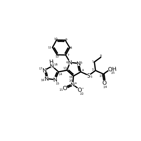 CCC(Sc1nn(-c2ccccc2)c(-c2nnn[nH]2)c1[N+](=O)[O-])C(=O)O